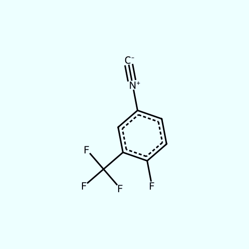 [C-]#[N+]c1ccc(F)c(C(F)(F)F)c1